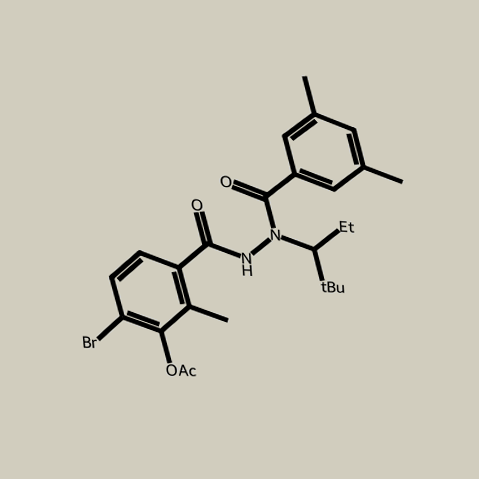 CCC(N(NC(=O)c1ccc(Br)c(OC(C)=O)c1C)C(=O)c1cc(C)cc(C)c1)C(C)(C)C